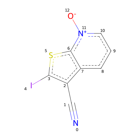 N#Cc1c(I)sc2c1ccc[n+]2[O-]